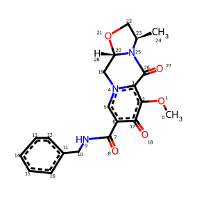 COc1c2n(cc(C(=O)NCc3ccccc3)c1=O)C[C@@H]1OC[C@@H](C)N1C2=O